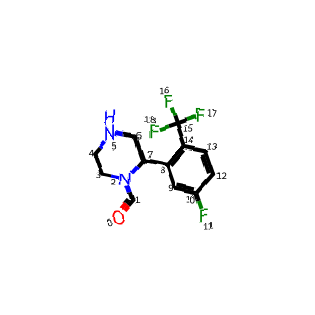 O=CN1CCNCC1c1cc(F)ccc1C(F)(F)F